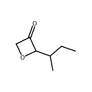 CCC(C)C1OCC1=O